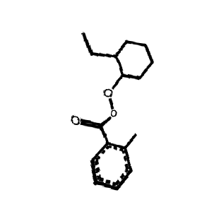 CCC1CCCC[C]1OOC(=O)c1ccccc1C